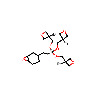 CCC1(CO[Si](CCC2CCC3OC3C2)(OCC2(CC)COC2)OCC2(CC)COC2)COC1